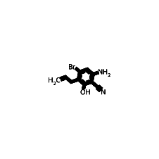 C=CCc1c(Br)cc(N)c(C#N)c1O